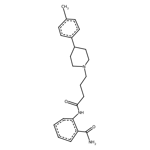 Cc1ccc(C2CCN(CCCC(=O)Nc3ccccc3C(N)=O)CC2)cc1